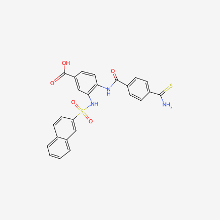 NC(=S)c1ccc(C(=O)Nc2ccc(C(=O)O)cc2NS(=O)(=O)c2ccc3ccccc3c2)cc1